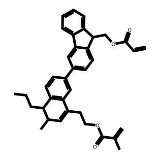 C=CC(=O)OCC1c2ccccc2-c2cc(-c3ccc4c(c3)C(CCOC(=O)C(=C)C)=CC(C)C4CCC)ccc21